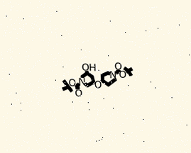 CC(C)(C)OC(=O)N1CCC(OC2CC(O)CN(C(=O)OC(C)(C)C)C2)CC1